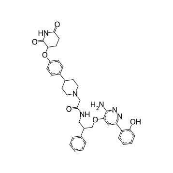 Nc1nnc(-c2ccccc2O)cc1OCC(CNC(=O)CN1CCC(c2ccc(OC3CCC(=O)NC3=O)cc2)CC1)c1ccccc1